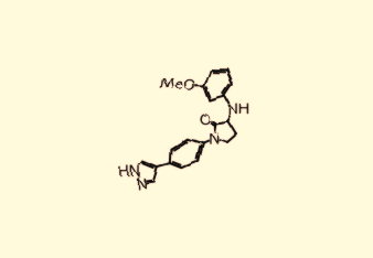 COc1cccc(NC2CCN(c3ccc(-c4cn[nH]c4)cc3)C2=O)c1